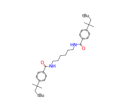 CC(C)(C)CC(C)(C)c1ccc(C(=O)NCCCCCCNC(=O)c2ccc(C(C)(C)CC(C)(C)C)cc2)cc1